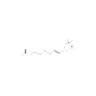 CC(=O)OCCCCC=CB1OC(C)(C)C(C)(C)O1